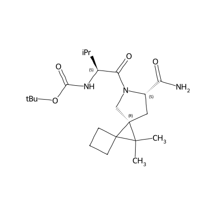 CC(C)[C@H](NC(=O)OC(C)(C)C)C(=O)N1C[C@]2(C[C@H]1C(N)=O)C(C)(C)C21CCC1